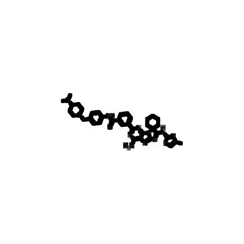 Cc1csc(NC(=O)C2(n3cnc4c(N)nc(-c5cccc(C(=O)Nc6ccc(CN7CCC(N(C)C)CC7)cc6)c5)nc43)CCCCC2)n1